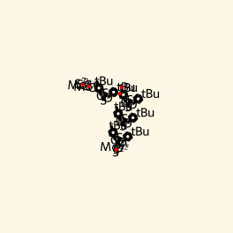 CC(C)(C)c1ccc(OP(=S)([S-])Oc2ccc(C(C)(C)C)cc2)cc1.CC(C)(C)c1ccc(OP(=S)([S-])Oc2ccc(C(C)(C)C)cc2)cc1.CC(C)(C)c1ccc(OP(=S)([S-])Oc2ccc(C(C)(C)C)cc2)cc1.CC(C)(C)c1ccc(OP(=S)([S-])Oc2ccc(C(C)(C)C)cc2)cc1.[O]=[Mo+4].[O]=[Mo+4].[O]=[Mo+4].[S-2].[S-2].[S-2].[S-2]